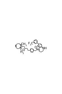 C[C@@]12CCC#CCC[C@]1(C)C2CC(=O)CCc1ccc(CC(=O)N2CCCCNc3ccc(-c4cccc(C(F)(F)F)c4)nc32)cc1